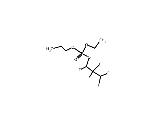 CCCOP(=O)(OCC)OC(F)C(F)(F)C(F)F